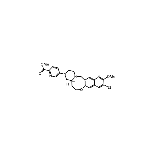 CCc1cc2cc3c(cc2nc1OC)CN1CCN(c2ccc(C(=O)OC)nc2)C[C@@H]1CCO3